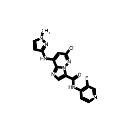 Cn1ccc(Nc2cc(Cl)nn3c(C(=O)Nc4ccncc4F)cnc23)n1